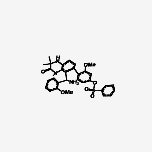 COc1cc(OS(=O)(=O)c2ccccc2)ccc1-c1ccc2c(c1C(N)c1ccccc1OC)N(C)C(=O)C(C)(C)N2